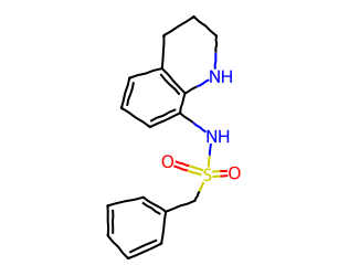 O=S(=O)(Cc1ccccc1)Nc1cccc2c1NCCC2